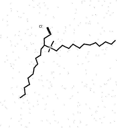 C=CCC(CCCCCCCCCCC)[N+](C)(C)CCCCCCCCCCCC.[Cl-]